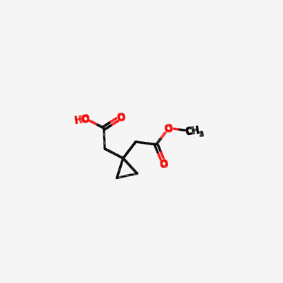 COC(=O)CC1(CC(=O)O)CC1